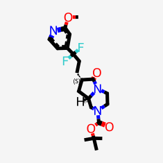 COc1cc(C(F)(F)CC[C@H]2C[C@H]3CN(C(=O)OC(C)(C)C)CCN3C2=O)ccn1